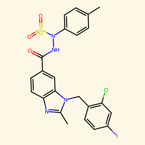 Cc1ccc(N(NC(=O)c2ccc3nc(C)n(Cc4ccc(I)cc4Cl)c3c2)[SH](=O)=O)cc1